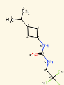 CC(C)C1CC(NC(=O)NCC(F)(F)F)C1